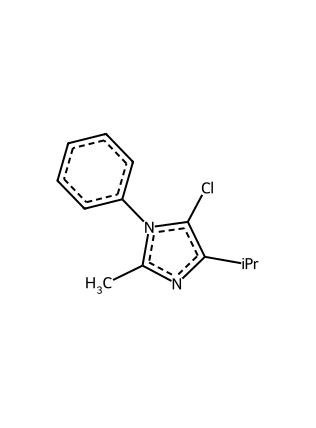 Cc1nc(C(C)C)c(Cl)n1-c1ccccc1